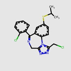 CC(C)Sc1ccc2c(c1)C(c1ccccc1Cl)=NCc1nnc(CCl)n1-2